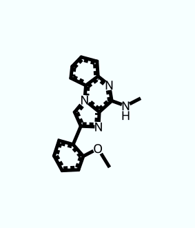 CNc1nc2ccccc2n2cc(-c3ccccc3OC)nc12